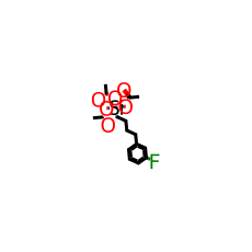 CC(=O)O[Si](CCCCc1cccc(F)c1)(OC(C)=O)OC(C)=O